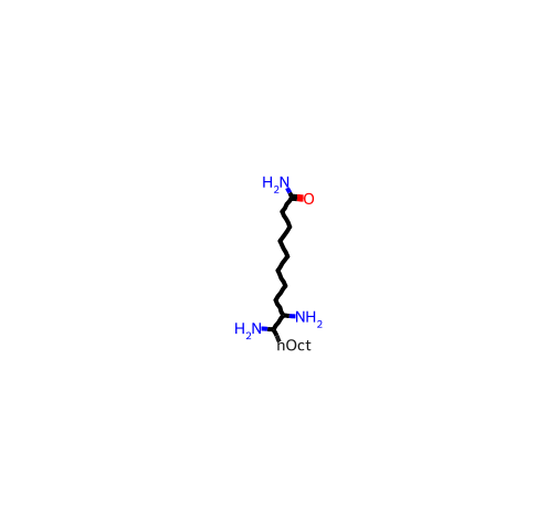 CCCCCCCCC(N)C(N)CCCCCCCC(N)=O